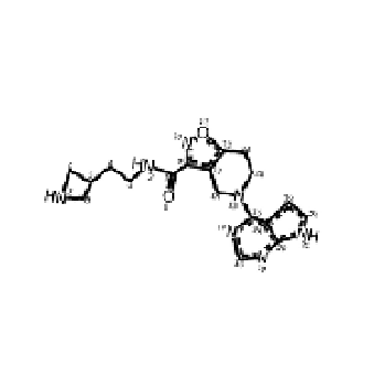 O=C(NCCC1CNC1)c1noc2c1CN(c1ncnc3[nH]ccc13)CC2